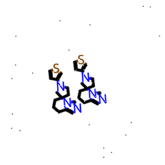 c1cc(N2CCC3(CCCc4cncn43)C2)cs1.c1cc(N2CCC3(CCCc4cncn43)C2)cs1